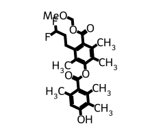 COCOC(=O)c1c(C)c(C)c(OC(=O)c2c(C)cc(O)c(C)c2C)c(C)c1CCC(F)F